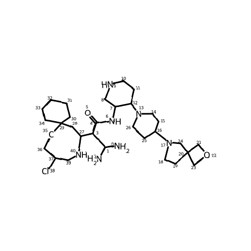 NC(N)C(C(=O)NC1CNCCC1N1CCC(N2CCC3(COC3)C2)CC1)C1CC2(CCCCC2)CCC(Cl)CN1